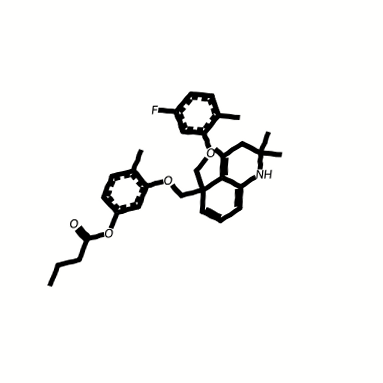 CCCC(=O)Oc1ccc(C)c(OCC2(COc3cc(F)ccc3C)C=CC=C3NC(C)(C)CC(C)=C32)c1